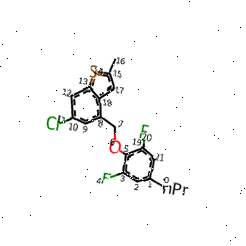 CCCc1cc(F)c(OCc2cc(Cl)cc3sc(C)cc23)c(F)c1